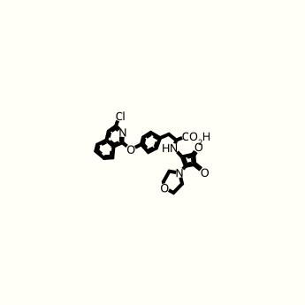 O=C(O)C(Cc1ccc(Oc2nc(Cl)cc3ccccc23)cc1)Nc1c(N2CCOCC2)c(=O)c1=O